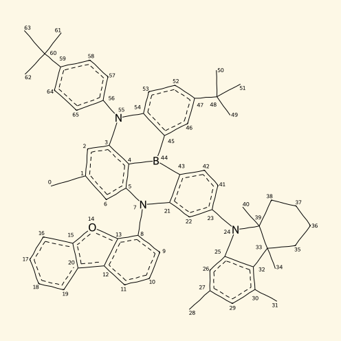 Cc1cc2c3c(c1)N(c1cccc4c1oc1ccccc14)c1cc(N4c5cc(C)cc(C)c5C5(C)CCCCC45C)ccc1B3c1cc(C(C)(C)C)ccc1N2c1ccc(C(C)(C)C)cc1